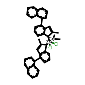 CC1=Cc2c(-c3cccc4ccccc34)cccc2[CH]1[Zr]([Cl])([Cl])([CH]1C(C)=Cc2c(-c3cccc4ccccc34)cccc21)=[Ge]([CH3])[CH3]